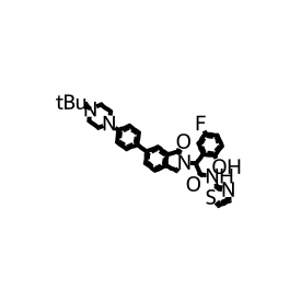 CC(C)(C)N1CCN(c2ccc(-c3ccc4c(c3)C(=O)N(C(C(=O)Nc3nccs3)c3cc(F)ccc3O)C4)cc2)CC1